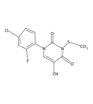 N#Cc1cn(-c2ccc(Cl)cc2F)c(=O)n(SC(Cl)(Cl)Cl)c1=O